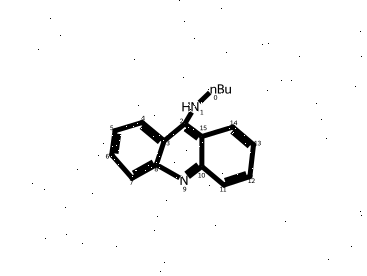 CCCCNc1c2ccccc2nc2ccccc12